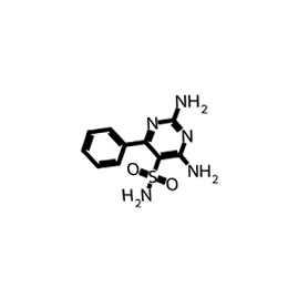 Nc1nc(N)c(S(N)(=O)=O)c(-c2ccccc2)n1